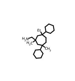 CCC1(C2CCCCC2)CCC(C)(C2CCCCC2)CC(C)(CN)C1